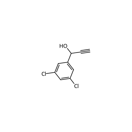 C#CC(O)c1cc(Cl)cc(Cl)c1